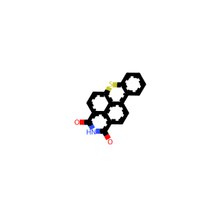 O=c1[nH]c(=O)c2ccc3c4ccccc4sc4ccc1c2c43